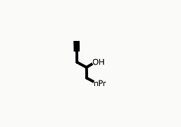 C#CCC(O)CCCC